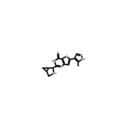 Cc1[nH]ncc1-c1cc2nc(C3NCC4CC43)[nH]c(=O)c2s1